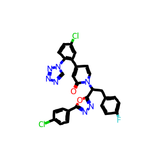 O=c1cc(-c2cc(Cl)ccc2-n2cnnn2)ccn1C(Cc1ccc(F)cc1)c1nnc(-c2ccc(Cl)cc2)o1